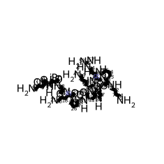 CC(C)C(NC(=O)C[C@@H](O)CN)C(=O)NCC(=O)/N=C(\CCCN)C(=O)N1CCC[C@H]1C(=O)N[C@@H](Cc1cnc[nH]1)C(=O)N[C@@H](CCCCN)C(=O)N/C(=C\CCNC(=N)N)C(=O)N[C@@H](CCCCN)C(=O)NCCCCN